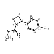 CCC(=O)N1CCC1c1ccc(F)cn1